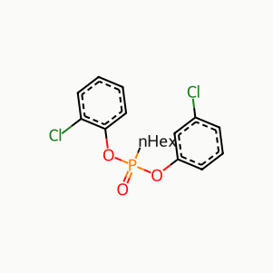 CCCCCCP(=O)(Oc1cccc(Cl)c1)Oc1ccccc1Cl